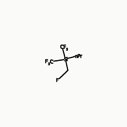 CCC[Si](CF)(C(F)(F)F)C(F)(F)F